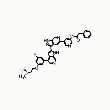 CN(C)CCOc1cc(F)cc(-c2cncc3[nH]c(-c4n[nH]c5cnc(-c6cncc(NC(=O)Cc7ccccc7)c6)cc45)cc23)c1